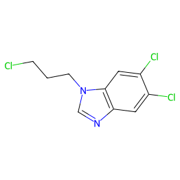 ClCCCn1cnc2cc(Cl)c(Cl)cc21